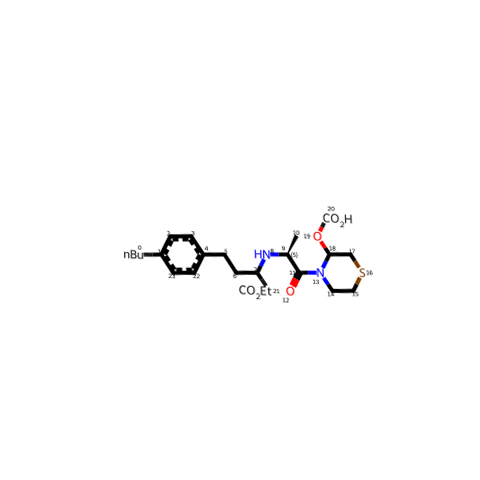 CCCCc1ccc(CCC(N[C@@H](C)C(=O)N2CCSCC2OC(=O)O)C(=O)OCC)cc1